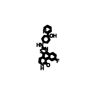 O=c1[nH]ccc2c3sc(N[C@H]4CC[C@@](O)(c5ccccn5)CC4)nc3c3ccc(F)cc3c12